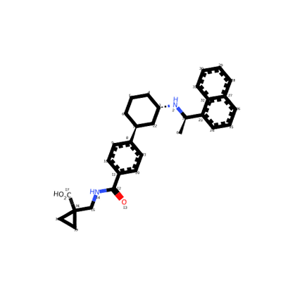 C[C@@H](N[C@H]1CCC[C@H](c2ccc(C(=O)NCC3(C(=O)O)CC3)cc2)C1)c1cccc2ccccc12